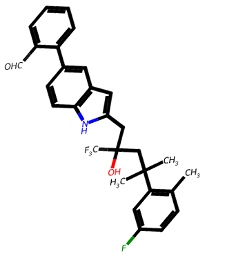 Cc1ccc(F)cc1C(C)(C)CC(O)(Cc1cc2cc(-c3ccccc3C=O)ccc2[nH]1)C(F)(F)F